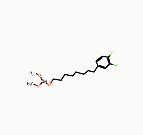 CO[SiH](OC)OCCCCCCCCc1ccc(F)c(F)c1